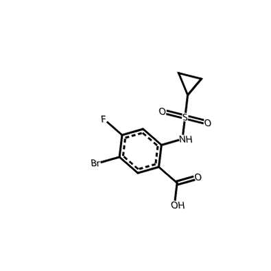 O=C(O)c1cc(Br)c(F)cc1NS(=O)(=O)C1CC1